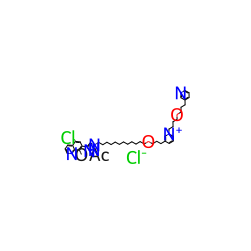 CC(=O)Oc1c(-c2cn(CCCCCCCCCCCCOCCCc3ccc[n+](CCCCOCCCc4cccnc4)c3)nn2)cc(Cl)c2cccnc12.[Cl-]